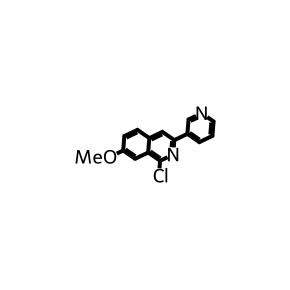 COc1ccc2cc(-c3cccnc3)nc(Cl)c2c1